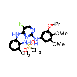 COc1cc(Nc2ncc(F)c(Nc3cccc(C)c3NS(C)(=O)=O)n2)cc(OC(C)C)c1OC